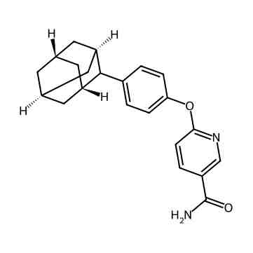 NC(=O)c1ccc(Oc2ccc(C3[C@H]4C[C@@H]5C[C@@H](C[C@H]3C5)C4)cc2)nc1